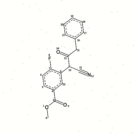 COC(=O)c1ccc(F)c(C(C#N)C(=O)Cc2ccccc2)c1